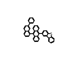 c1ccc(-c2ccc3cccc(-c4c5ccccc5c(-c5ccc6sc7ccccc7c6c5)c5ccccc45)c3c2)cc1